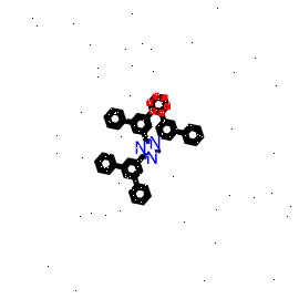 C1=NC(c2cc(-c3ccccc3)cc(-c3ccccc3)c2)=NC(c2cc(-c3ccccc3)cc(-c3ccccc3)c2)N1c1cc(-c2ccccc2)cc(-c2ccccc2)c1